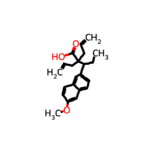 C=CCC(CC=C)(C(=O)O)C(CC)c1ccc2cc(OC)ccc2c1